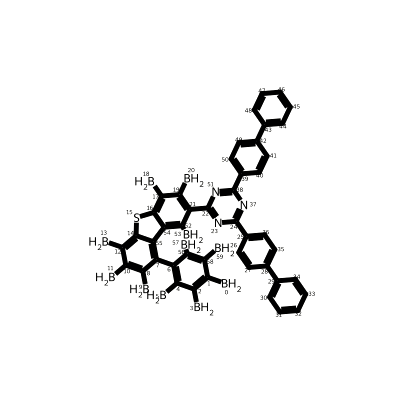 Bc1c(B)c(B)c(-c2c(B)c(B)c(B)c3sc4c(B)c(B)c(-c5nc(-c6ccc(-c7ccccc7)cc6)nc(-c6ccc(-c7ccccc7)cc6)n5)c(B)c4c23)c(B)c1B